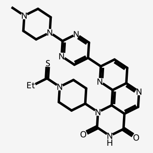 CCC(=S)N1CCC(n2c(=O)[nH]c(=O)c3cnc4ccc(-c5cnc(N6CCN(C)CC6)nc5)nc4c32)CC1